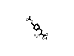 CC(=O)OCc1ccc(CC(N)C(=O)O)cc1